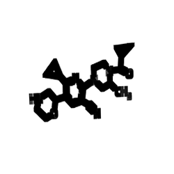 CC1CN(c2nc(C3CC3)c(C3CNCCO3)cc2C#N)CCN1C(=O)C1CC1